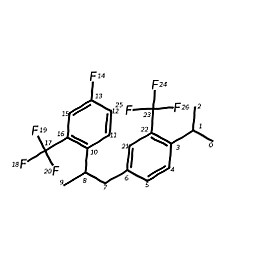 CC(C)c1ccc(CC(C)c2ccc(F)cc2C(F)(F)F)cc1C(F)(F)F